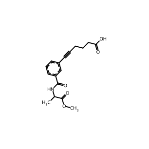 COC(=O)C(C)NC(=O)c1cccc(C#CCCCC(=O)O)c1